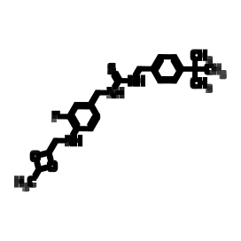 CC1OC(CNc2ccc(CNC(=S)NCc3ccc(C(C)(C)C)cc3)cc2F)O1